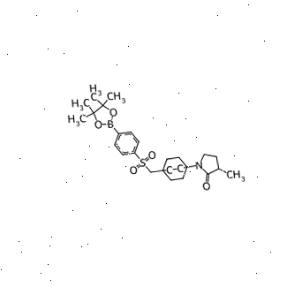 CC1CCN(C23CCC(CS(=O)(=O)c4ccc(B5OC(C)(C)C(C)(C)O5)cc4)(CC2)CC3)C1=O